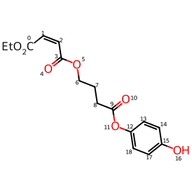 CCOC(=O)/C=C\C(=O)OCCCC(=O)Oc1ccc(O)cc1